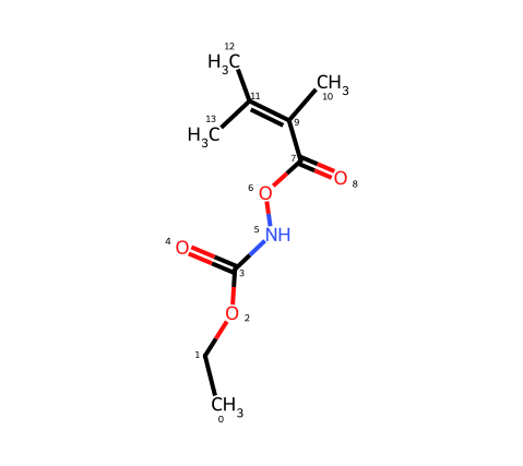 CCOC(=O)NOC(=O)C(C)=C(C)C